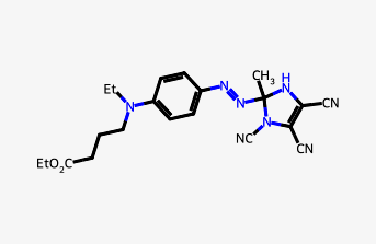 CCOC(=O)CCCN(CC)c1ccc(N=NC2(C)NC(C#N)=C(C#N)N2C#N)cc1